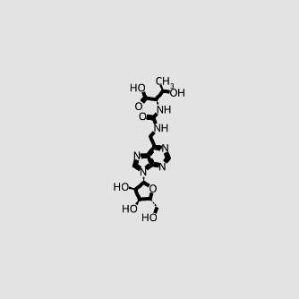 C[C@@H](O)[C@H](NC(=O)NCc1ncnc2c1ncn2[C@@H]1O[C@H](CO)[C@@H](O)[C@H]1O)C(=O)O